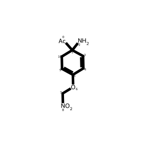 CC(=O)C1(N)C=CC(OC[N+](=O)[O-])=CC1